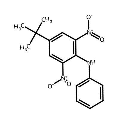 CC(C)(C)c1cc([N+](=O)[O-])c(Nc2ccccc2)c([N+](=O)[O-])c1